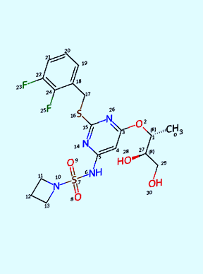 C[C@@H](Oc1cc(NS(=O)(=O)N2CCC2)nc(SCc2cccc(F)c2F)n1)[C@H](O)CO